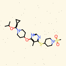 Cc1c(OC2CCN(C(OC(C)C)=C3CC3)CC2)ncnc1SC1CCN(S(C)(=O)=O)CC1